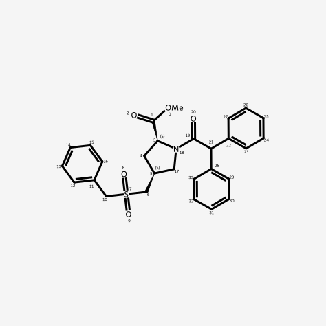 COC(=O)[C@@H]1C[C@H](CS(=O)(=O)Cc2ccccc2)CN1C(=O)C(c1ccccc1)c1ccccc1